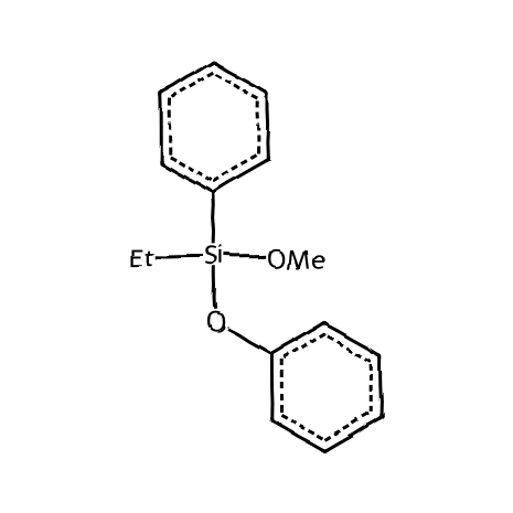 CC[Si](OC)(Oc1ccccc1)c1ccccc1